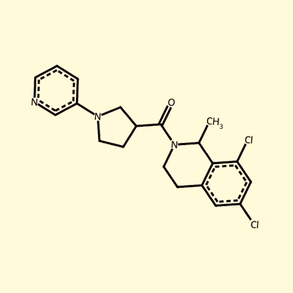 CC1c2c(Cl)cc(Cl)cc2CCN1C(=O)C1CCN(c2cccnc2)C1